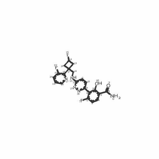 NC(=O)c1ccc(F)c(-c2ccc(NCC3(c4ncccc4F)CC(F)C3)nn2)c1O